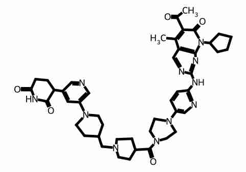 CC(=O)c1c(C)c2cnc(Nc3ccc(N4CCN(C(=O)C5CCN(CC6CCN(c7cncc(C8CCC(=O)NC8=O)c7)CC6)CC5)CC4)cn3)nc2n(C2CCCC2)c1=O